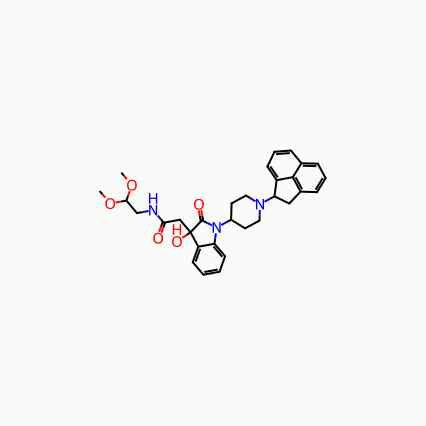 COC(CNC(=O)CC1(O)C(=O)N(C2CCN(C3Cc4cccc5cccc3c45)CC2)c2ccccc21)OC